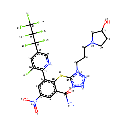 NC(=O)c1cc([N+](=O)[O-])cc(-c2ncc(C(F)(F)C(F)(F)C(F)(F)F)cc2F)c1Sc1nnnn1CCCN1CCC(O)C1